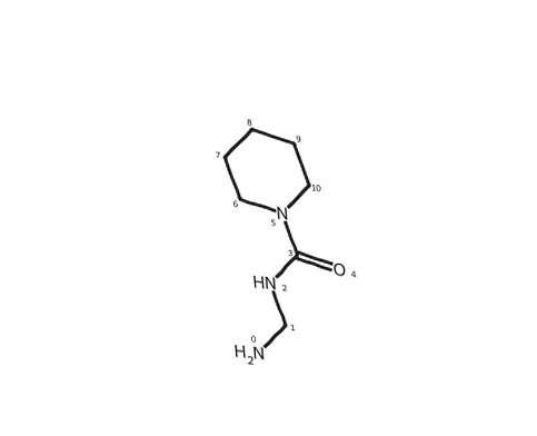 NCNC(=O)N1CCCCC1